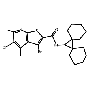 Cc1nc2sc(C(=O)NC3C4(CCCCC4)C34CCCCC4)c(Br)c2c(C)c1Cl